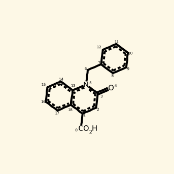 O=C(O)c1cc(=O)n(Cc2ccccc2)c2ccccc12